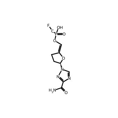 NC(=O)c1ncn([C@H]2CC/C(=C\OP(=O)(O)CF)O2)n1